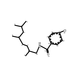 C[C](C)CC(C)CCC(C)CNC(=O)c1ccc(Cl)cc1